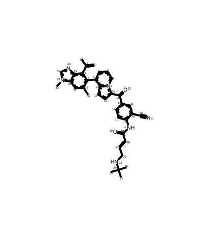 C=C(C)c1c(-c2cccn3c(C(=O)c4ccc(NC(=O)/C=C/CNC(C)(C)C)c(C#N)c4)ccc23)c(C)cc2c1ncn2C